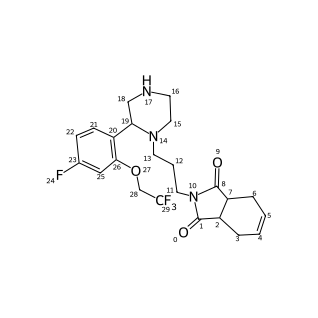 O=C1C2CC=CCC2C(=O)N1CCCN1CCNCC1c1ccc(F)cc1OCC(F)(F)F